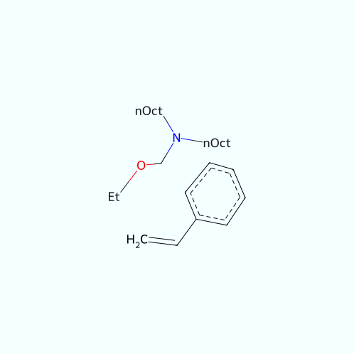 C=Cc1ccccc1.CCCCCCCCN(CCCCCCCC)COCC